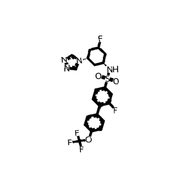 O=S(=O)(N[C@H]1CC(F)C[C@@H](n2cnnc2)C1)c1ccc(-c2ccc(OC(F)(F)F)cc2)c(F)c1